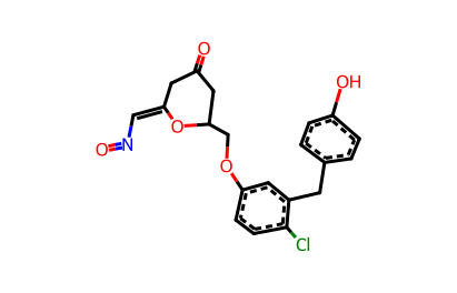 O=N/C=C1/CC(=O)CC(COc2ccc(Cl)c(Cc3ccc(O)cc3)c2)O1